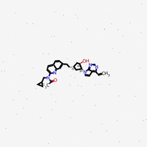 C=Cc1ncnc2c1ccn2[C@@H]1C[C@H](CCc2ccc3ccc(N(CC4CC4)C(=O)C(F)(F)F)nc3c2)C[C@H]1O